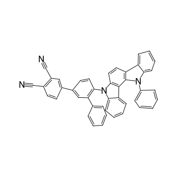 N#Cc1ccc(-c2ccc(-n3c4ccccc4c4c3ccc3c5ccccc5n(-c5ccccc5)c34)c(-c3ccccc3)c2)cc1C#N